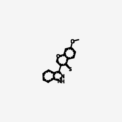 COc1ccc2c(=S)c(-c3n[nH]c4ccccc34)coc2c1